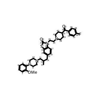 COc1ccccc1N1CCN(CC(C)Cc2ccc3c(c2)sc(=O)n3CCN2CCC(C(=O)c3ccc(F)cc3)CC2)CC1